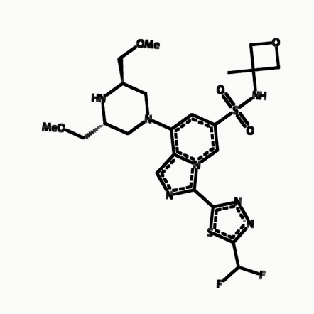 COC[C@H]1CN(c2cc(S(=O)(=O)NC3(C)COC3)cn3c(-c4nnc(C(F)F)s4)ncc23)C[C@H](COC)N1